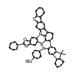 CC(C)(C)c1ccc(N2B3c4cc5nc(-c6ccccc6)oc5cc4-n4c5cc6sc7ccccc7c6cc5c5ccc(c3c54)-c3cc4c(cc32)-c2ccccc2C4(C)C)cc1